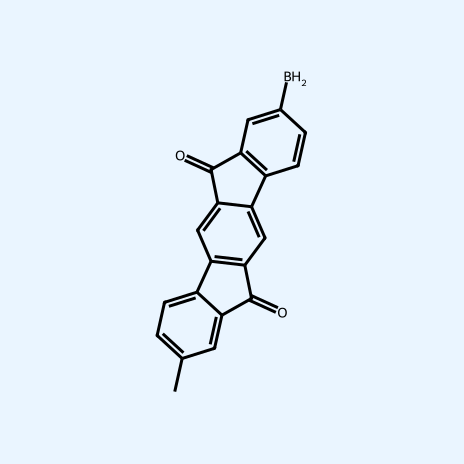 Bc1ccc2c(c1)c(=O)c1cc3c(cc12)c(=O)c1cc(C)ccc13